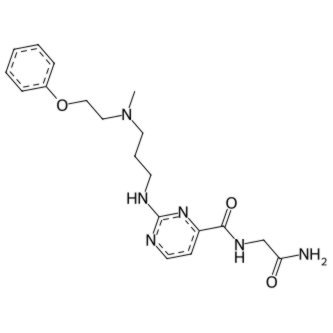 CN(CCCNc1nccc(C(=O)NCC(N)=O)n1)CCOc1ccccc1